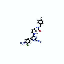 Cc1ccc(CNC(=O)[C@H]2CC[C@@H](C)N(c3cc(-c4ccc(N)c(F)c4)nc(N)n3)C2)cc1